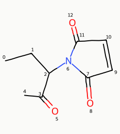 CCC(C(C)=O)N1C(=O)C=CC1=O